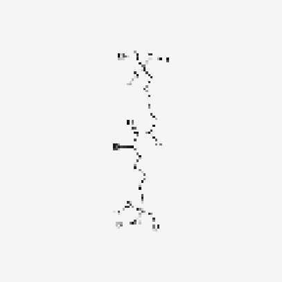 CCO[Si](CCCCCC(CC)C(=O)C(CC)CCCCC[Si](OCC)(OCC)OCC)(OCC)OCC